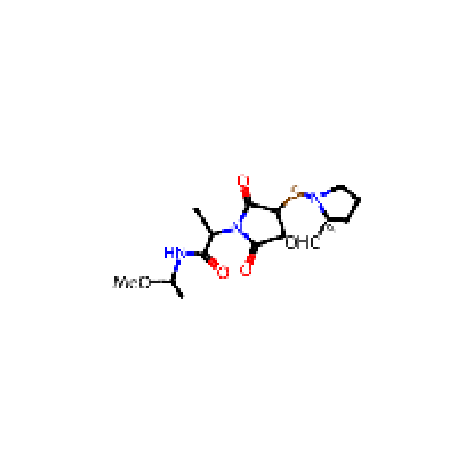 COC(C)NC(=O)C(C)N1C(=O)CC(SN2CCC[C@H]2C=O)C1=O